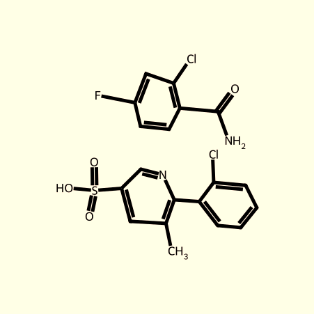 Cc1cc(S(=O)(=O)O)cnc1-c1ccccc1Cl.NC(=O)c1ccc(F)cc1Cl